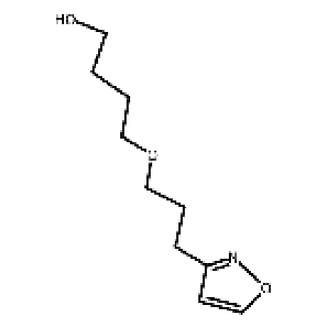 OCCCCOCCCc1ccon1